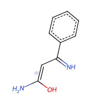 N=C(/C=C(/N)O)c1ccccc1